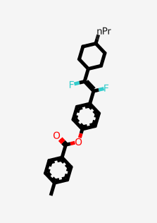 CCCC1CCC(/C(F)=C(\F)c2ccc(OC(=O)c3ccc(C)cc3)cc2)CC1